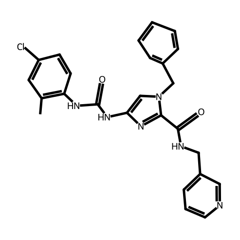 Cc1cc(Cl)ccc1NC(=O)Nc1cn(Cc2ccccc2)c(C(=O)NCc2cccnc2)n1